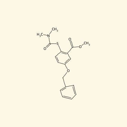 COC(=O)c1cc(OCc2ccccc2)ccc1SC(=O)N(C)C